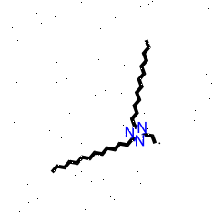 [CH2]Cc1nc(CCCCCCCCCCCCC)nc(CCCCCCCCCCCCC)n1